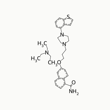 CCN(CC)CC.NC(=O)c1cccc2cc(OCCCN3CCN(c4cccc5sccc45)CC3)ccc12